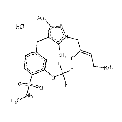 CNS(=O)(=O)c1ccc(Cc2c(C)nn(CC(F)=CCN)c2C)cc1OC(F)(F)F.Cl